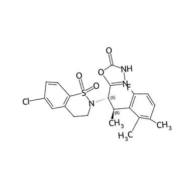 Cc1ccc(F)c([C@@H](C)[C@@H](c2n[nH]c(=O)o2)N2CCc3cc(Cl)ccc3S2(=O)=O)c1C